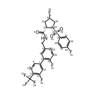 O=C(NCc1cc(-c2cnc(C(F)(F)F)c(F)c2)c(F)cn1)[C@@H]1C[C@@H](F)CN1S(=O)(=O)c1ccc(F)cc1